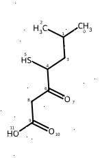 CC(C)CC(S)C(=O)CC(=O)O